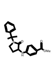 COC(=O)c1ccc(NC2CCN(C(C)(C)c3ccccc3)C2=O)cc1